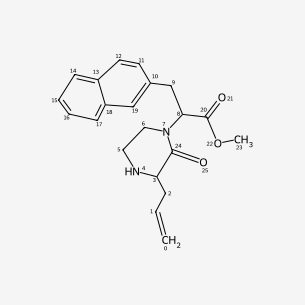 C=CCC1NCCN(C(Cc2ccc3ccccc3c2)C(=O)OC)C1=O